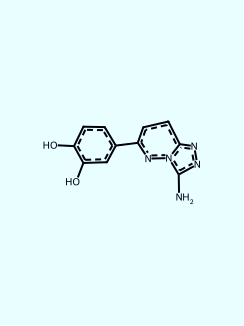 Nc1nnc2ccc(-c3ccc(O)c(O)c3)nn12